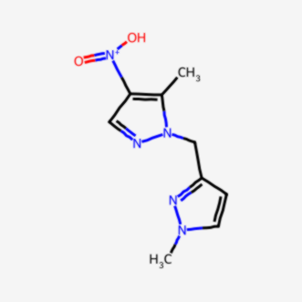 Cc1c([N+](=O)O)cnn1Cc1ccn(C)n1